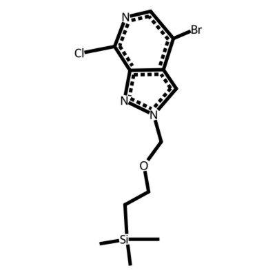 C[Si](C)(C)CCOCn1cc2c(Br)cnc(Cl)c2n1